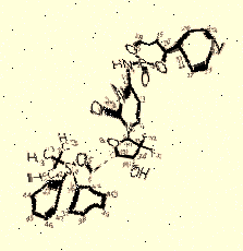 CC(C)(C)[Si](OC[C@@H]1O[C@@H](n2ccc(NP3(=O)OCCC(c4ccncc4)O3)nc2=O)C(F)(F)[C@@H]1O)(c1ccccc1)c1ccccc1